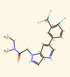 CCN(C)C(=O)Cn1ncc2ncc(-c3ccc(F)c(C(F)F)c3)cc21